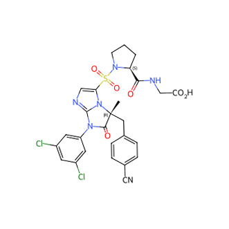 C[C@@]1(Cc2ccc(C#N)cc2)C(=O)N(c2cc(Cl)cc(Cl)c2)c2ncc(S(=O)(=O)N3CCC[C@H]3C(=O)NCC(=O)O)n21